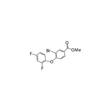 COC(=O)c1ccc(Oc2ccc(F)cc2F)c(Br)c1